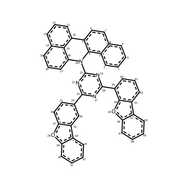 c1ccc2c3c(ccc2c1)-c1cccc2cccc(c12)N3c1nc(-c2ccc3oc4ccccc4c3c2)nc(-c2cccc3c2oc2ccccc23)n1